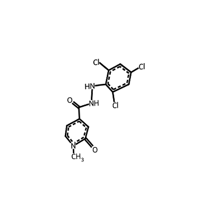 Cn1ccc(C(=O)NNc2c(Cl)cc(Cl)cc2Cl)cc1=O